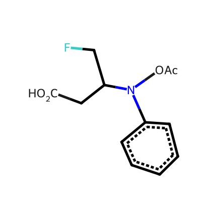 CC(=O)ON(c1ccccc1)C(CF)CC(=O)O